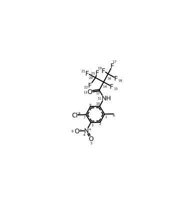 Cc1cc([N+](=O)[O-])c(Cl)cc1NC(=O)C(F)(C(F)(F)F)C(F)(F)F